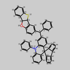 c1ccc(C(c2ccc3c(c2)C2Sc4ccccc4C2O3)c2ccc3c(c2)N(c2ccccc2)c2ccccc2C32c3ccccc3-c3ccccc32)cc1